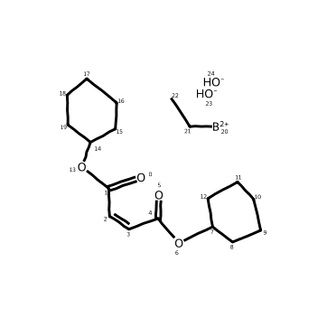 O=C(/C=C\C(=O)OC1CCCCC1)OC1CCCCC1.[B+2]CC.[OH-].[OH-]